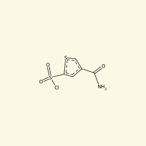 NC(=O)c1csc(S(=O)(=O)Cl)c1